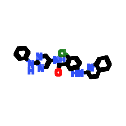 O=C(Nc1cnc(Nc2ccccc2)nc1)c1cc(Nc2ccc3ccccc3n2)ccc1Cl